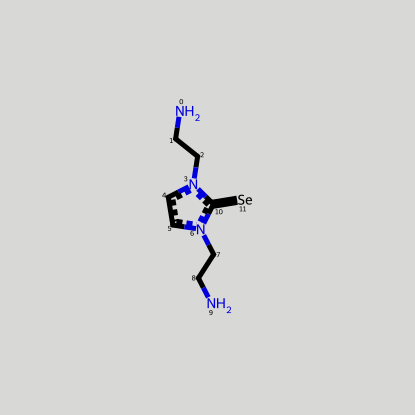 NCCn1ccn(CCN)c1=[Se]